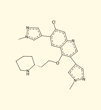 Cn1cc(-c2cc3c(OCC[C@H]4CCCCN4)c(-c4cnn(C)c4)cnc3cc2Cl)cn1